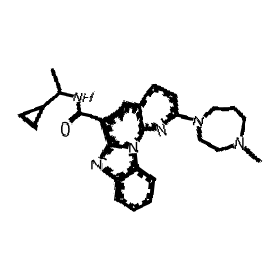 CC(NC(=O)c1cc2ccc(N3CCCN(C)CC3)nc2n2c1nc1ccccc12)C1CC1